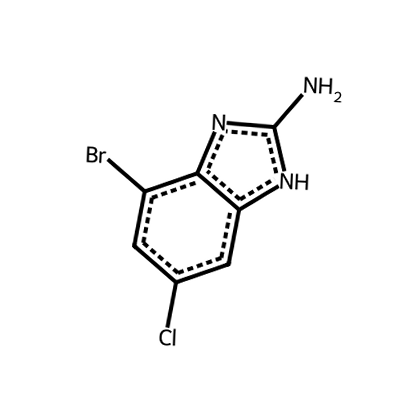 Nc1nc2c(Br)cc(Cl)cc2[nH]1